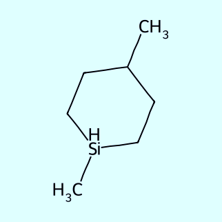 CC1CC[SiH](C)CC1